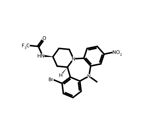 CN1c2cc([N+](=O)[O-])ccc2N2CC[C@H](NC(=O)C(F)(F)F)C[C@@H]2c2c(Br)cccc21